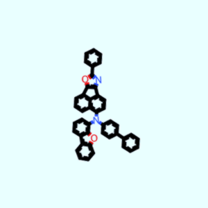 c1ccc(-c2ccc(N(c3ccc4c5c(cccc35)-c3oc(-c5ccccc5)nc3-4)c3cccc4c3oc3ccccc34)cc2)cc1